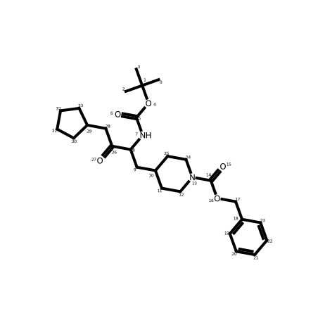 CC(C)(C)OC(=O)NC(CC1CCN(C(=O)OCc2ccccc2)CC1)C(=O)CC1CCCC1